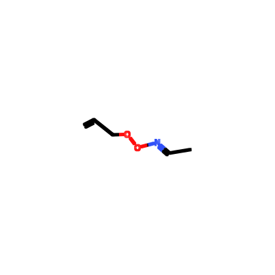 C=CCOON=CC